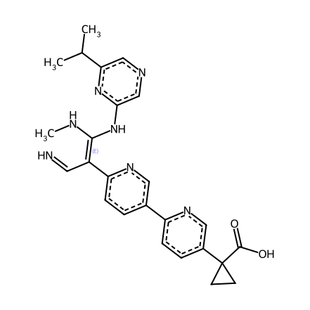 CN/C(Nc1cncc(C(C)C)n1)=C(\C=N)c1ccc(-c2ccc(C3(C(=O)O)CC3)cn2)cn1